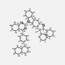 CC1(c2ccccc2)C(c2ccccc2)=Nc2cc3c4ccccc4n(-c4nc(-c5ccc(-c6cccc7ccccc67)cc5)c5ccccc5n4)c3cc21